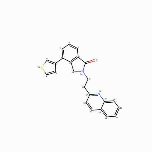 O=C1c2cccc(-c3ccsc3)c2CN1CCc1ccc2ccccc2n1